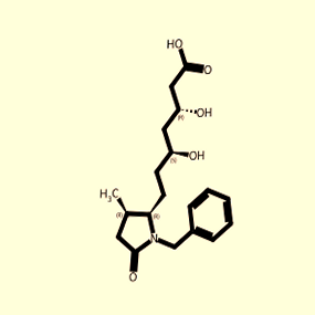 C[C@@H]1CC(=O)N(Cc2ccccc2)[C@@H]1CC[C@H](O)C[C@@H](O)CC(=O)O